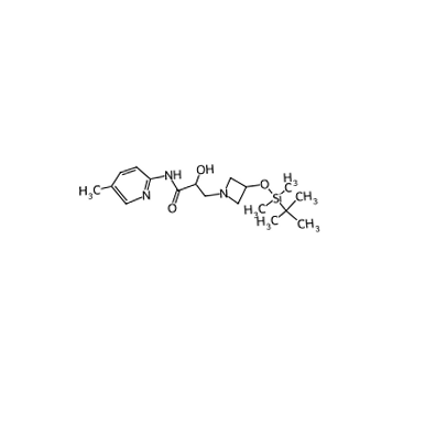 Cc1ccc(NC(=O)C(O)CN2CC(O[Si](C)(C)C(C)(C)C)C2)nc1